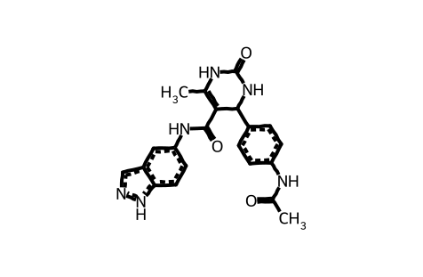 CC(=O)Nc1ccc(C2NC(=O)NC(C)=C2C(=O)Nc2ccc3[nH]ncc3c2)cc1